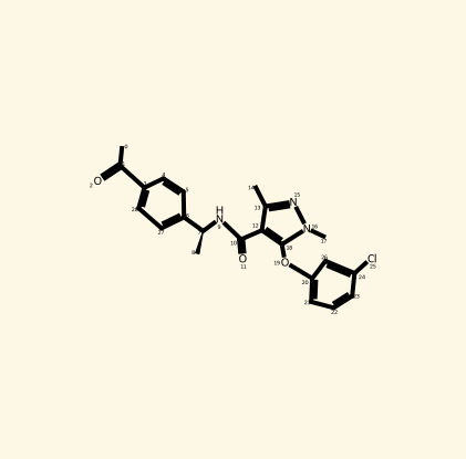 CC(=O)c1ccc([C@H](C)NC(=O)c2c(C)nn(C)c2Oc2cccc(Cl)c2)cc1